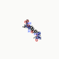 CCC(NC=O)C(=O)N(Cc1ncc(-c2ccc3c(c2)COc2cc4c(ccc5nc(CN(C(=O)CNC(=O)OC)[C@@H](C)CC)[nH]c54)cc2-3)[nH]1)[C@@H](C)CC